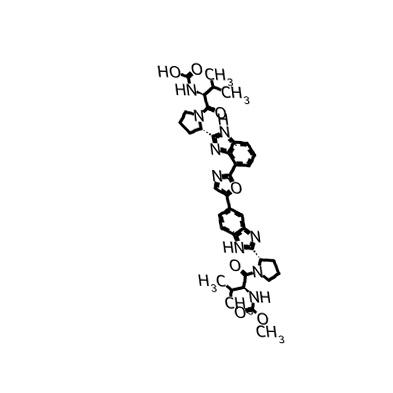 COC(=O)N[C@H](C(=O)N1CCC[C@H]1c1nc2cc(-c3cnc(-c4cccc5[nH]c([C@@H]6CCCN6C(=O)[C@@H](NC(=O)O)C(C)C)nc45)o3)ccc2[nH]1)C(C)C